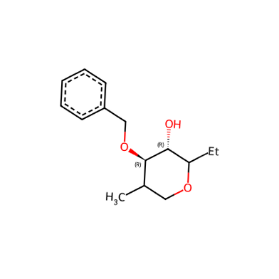 CCC1OCC(C)[C@@H](OCc2ccccc2)[C@@H]1O